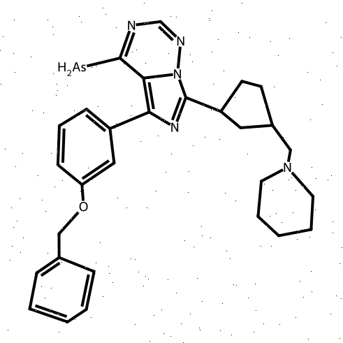 [AsH2]c1ncnn2c(C3CCC(CN4CCCCC4)C3)nc(-c3cccc(OCc4ccccc4)c3)c12